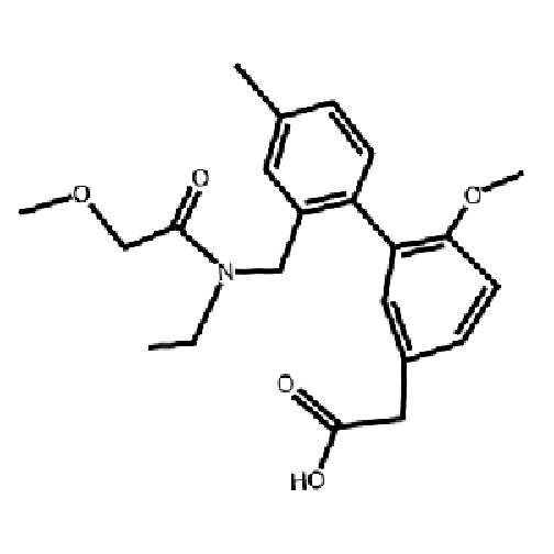 CCN(Cc1cc(C)ccc1-c1cc(CC(=O)O)ccc1OC)C(=O)COC